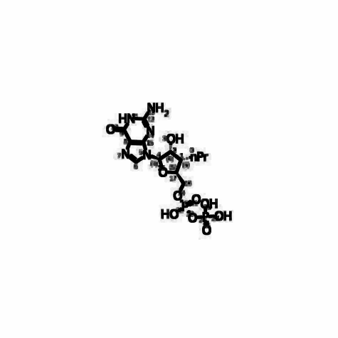 CCC[C@H]1[C@@H](O)[C@H](n2cnc3c(=O)[nH]c(N)nc32)O[C@@H]1COP(=O)(O)OP(=O)(O)O